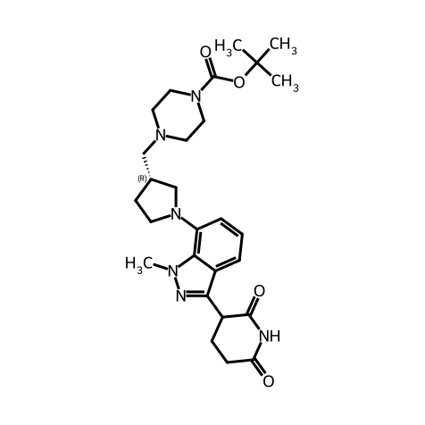 Cn1nc(C2CCC(=O)NC2=O)c2cccc(N3CC[C@H](CN4CCN(C(=O)OC(C)(C)C)CC4)C3)c21